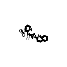 O=[N+]([O-])c1cccnc1NC1CN(c2ccc3ccccc3n2)C1